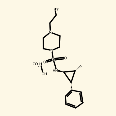 CC(C)CCN1CCN(S(=O)(=O)N[C@H]2[C@H](C)[C@@H]2c2ccccc2)CC1.O=C(O)O